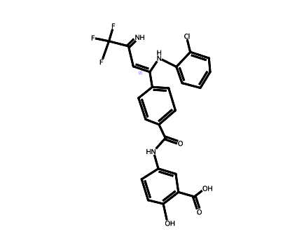 N=C(/C=C(\Nc1ccccc1Cl)c1ccc(C(=O)Nc2ccc(O)c(C(=O)O)c2)cc1)C(F)(F)F